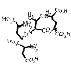 CC(C)CC(N)C(=O)O.CC(O)C(N)C(=O)O.NC(CC(=O)O)C(=O)O.NC(CCC(=O)O)C(=O)O